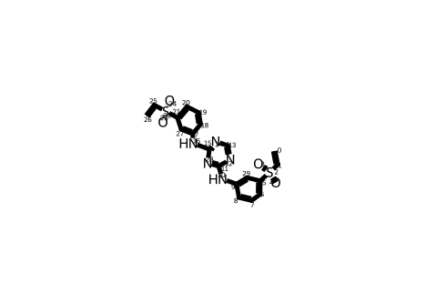 C=CS(=O)(=O)c1cccc(Nc2n[c]nc(Nc3cccc(S(=O)(=O)C=C)c3)n2)c1